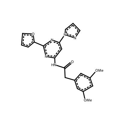 COc1cc(CC(=O)Nc2cc(-n3cccn3)nc(-c3ccco3)n2)cc(OC)c1